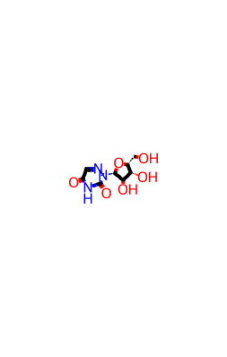 O=c1cnn([C@@H]2O[C@H](CO)[C@H](O)C2O)c(=O)[nH]1